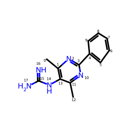 Cc1nc(-c2ccccc2)nc(C)c1NC(=N)N